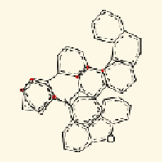 c1ccc(-c2ccccc2-c2c(-c3ccccc3)cccc2-c2ccccc2N(c2ccc(-c3cccc4ccccc34)cc2)c2cccc3oc4ccccc4c23)cc1